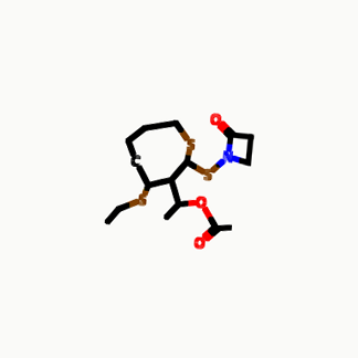 CCSC1CCCCSC(SN2CCC2=O)C1C(C)OC(C)=O